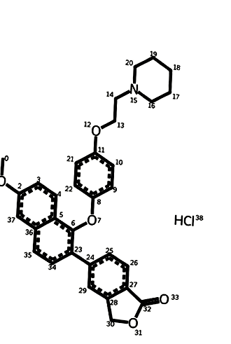 COc1ccc2c(Oc3ccc(OCCN4CCCCC4)cc3)c(-c3ccc4c(c3)COC4=O)ccc2c1.Cl